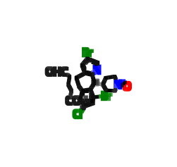 O=CCCCC(=O)O.O=[N+]1CCC([C@H]2c3ncc(Br)cc3CCc3cc(Cl)cc(Br)c32)CC1